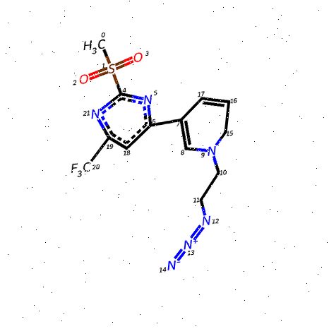 CS(=O)(=O)c1nc(C2=CN(CCN=[N+]=[N-])CC=C2)cc(C(F)(F)F)n1